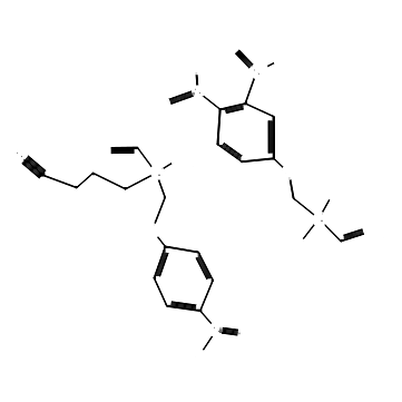 C=C[Si](C)(C)COc1ccc([N+](=O)[O-])c([N+](=O)[O-])c1.C=C[Si](C)(CCCC#N)COc1ccc([N+](=O)[O-])cc1